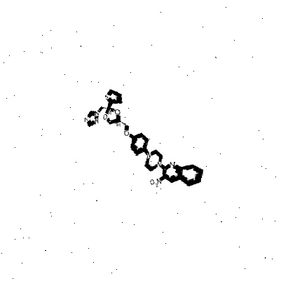 O=[N+]([O-])c1cc2ccccc2nc1N1CCN(c2ccc(OC[C@@H]3CO[C@@](Cn4cncn4)(c4cccs4)O3)cc2)CC1